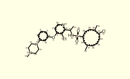 CCc1c(Oc2cccc(N3CCN(C)CC3)c2)ccnc1C(C)NS(=O)(=O)c1ccc(C)c(Cl)cccc(C)c1